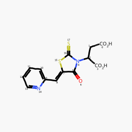 O=C(O)CC(C(=O)O)N1C(=O)/C(=C/c2ccccn2)SC1=S